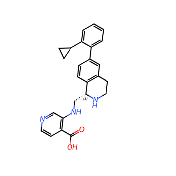 O=C(O)c1ccncc1NC[C@H]1NCCc2cc(-c3ccccc3C3CC3)ccc21